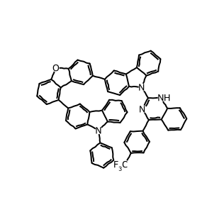 FC(F)(F)c1ccc(C2=C3C=CC=CC3NC(n3c4ccccc4c4cc(-c5ccc6oc7cccc(-c8ccc9c(c8)c8ccccc8n9-c8ccccc8)c7c6c5)ccc43)=N2)cc1